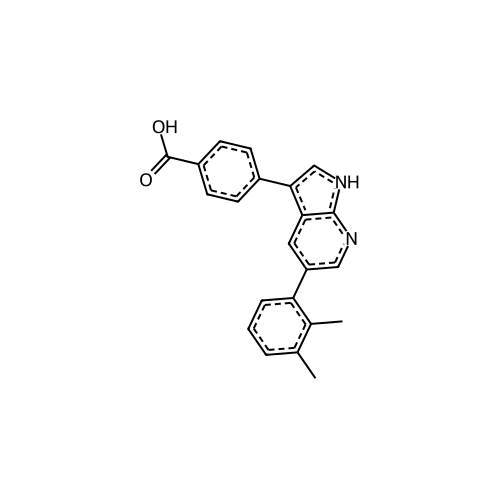 Cc1cccc(-c2cnc3[nH]cc(-c4ccc(C(=O)O)cc4)c3c2)c1C